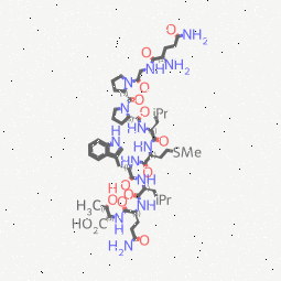 CSCC[C@H](NC(=O)[C@H](CC(C)C)NC(=O)[C@@H]1CCCN1C(=O)[C@@H]1CCCN1C(=O)CNC(=O)[C@@H](N)CCC(N)=O)C(=O)N[C@@H](Cc1c[nH]c2ccccc12)C(=O)N[C@@H](CC(C)C)C(=O)N[C@@H](CCC(N)=O)C(=O)N[C@H](C(=O)O)[C@@H](C)O